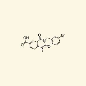 Cn1c(=O)n(Cc2cccc(Br)c2)c(=O)c2cc(C(=O)O)ccc21